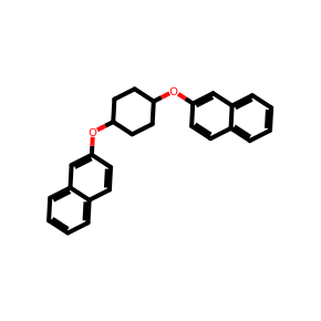 c1ccc2cc(OC3CCC(Oc4ccc5ccccc5c4)CC3)ccc2c1